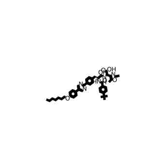 CCCCCCCOc1ccc(-c2cnc(-c3ccc(C[C@H](NC(=O)c4ccc(C(C)(C)C)cc4)C(O)NC(C(=O)O)c4nc(C)oc4C)cc3)nc2)cc1